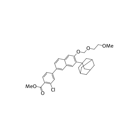 COCCOCOc1cc2ccc(-c3ccc(C(=O)OC)c(Cl)c3)cc2cc1C12CC3CC(CC(C3)C1)C2